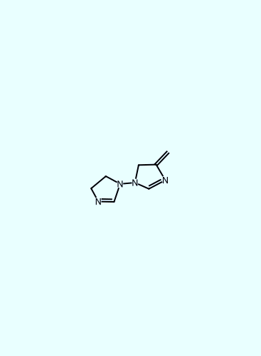 C=C1CN(N2C=NCC2)C=N1